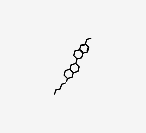 CCCCOC1CCC2CC(C3CCc4cc(CC)ccc4C3)CCC2C1